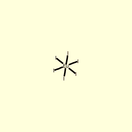 [I][Eu]([I])([I])([I])([I])[I]